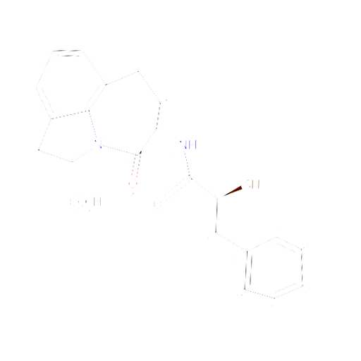 O=C(N[C@H]1CCc2cccc3c2N(C1=O)[C@H](C(=O)O)C3)[C@@H](S)Cc1ccccc1